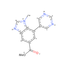 COC(=O)c1cc(-c2cncnc2)c2c(c1)ncn2C